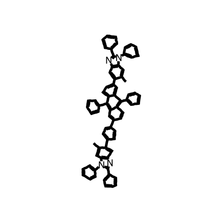 Cc1cc2c(cc1-c1ccc(-c3ccc4c(-c5ccccc5)c5cc(-c6cc7nc(-c8ccccc8)n(-c8ccccc8)c7cc6C)ccc5c(-c5ccccc5)c4c3)cc1)nc(-c1ccccc1)n2-c1ccccc1